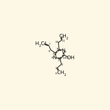 C=CCc1nc(CC=C)c(CC=C)nc1O